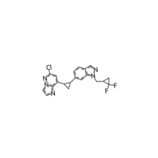 FC1(F)CC1Cn1ncc2ccc(C3CC3c3cc(Cl)nn4ccnc34)cc21